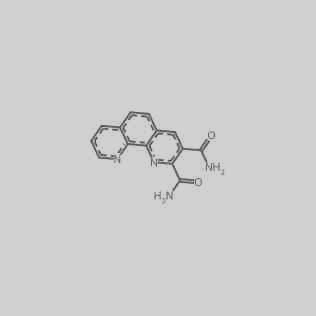 NC(=O)c1cc2ccc3cccnc3c2nc1C(N)=O